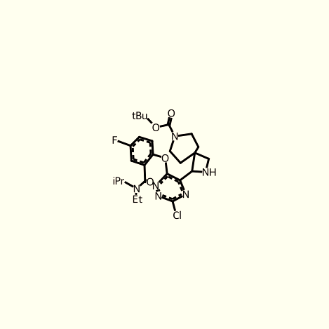 CCN(C(=O)c1cc(F)ccc1Oc1nnc(Cl)nc1C1NCC12CCN(C(=O)OC(C)(C)C)CC2)C(C)C